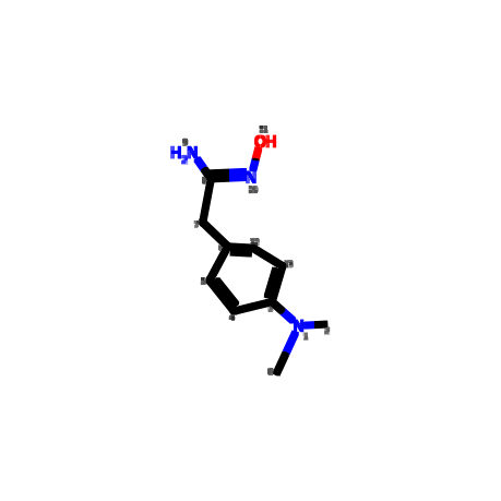 CN(C)c1ccc(CC(N)=NO)cc1